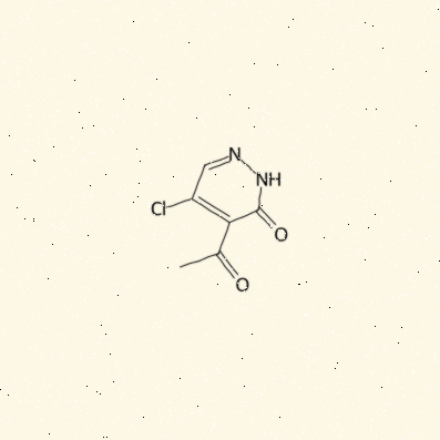 CC(=O)c1c(Cl)cn[nH]c1=O